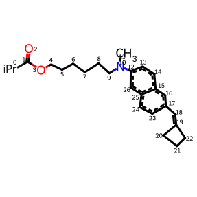 CC(C)C(=O)OCCCCCCN(C)c1ccc2cc(C=C3CCC3)ccc2c1